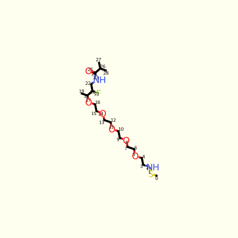 CSNCCOCCOCCOCCOCCOC(C)C(F)CNC(=O)C(C)C